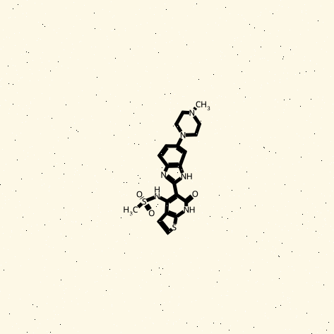 CN1CCN(c2ccc3nc(-c4c(NS(C)(=O)=O)c5ccsc5[nH]c4=O)[nH]c3c2)CC1